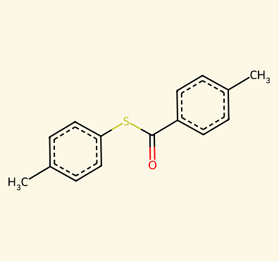 Cc1ccc(SC(=O)c2ccc(C)cc2)cc1